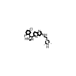 C[C@@H]1CN(CCNc2cnc3ccc(C4N=CNC4c4cc(Cl)ccc4F)nc3c2)C[C@H](C)N1